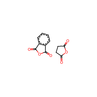 O=C1CCC(=O)O1.O=C1OC(=O)c2ccccc21